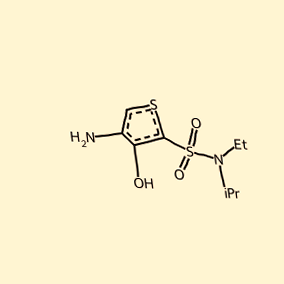 CCN(C(C)C)S(=O)(=O)c1scc(N)c1O